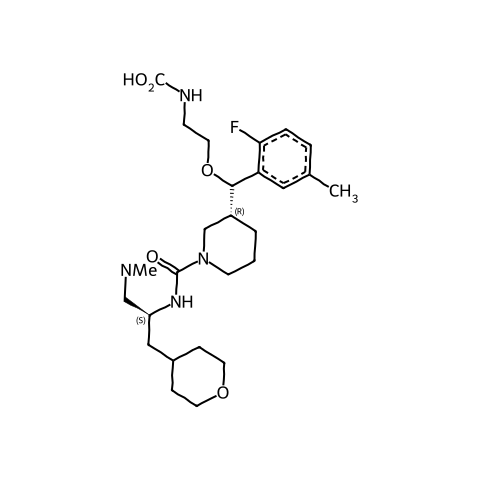 CNC[C@H](CC1CCOCC1)NC(=O)N1CCC[C@@H](C(OCCNC(=O)O)c2cc(C)ccc2F)C1